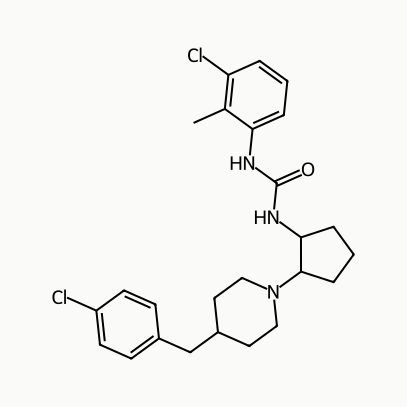 Cc1c(Cl)cccc1NC(=O)NC1CCCC1N1CCC(Cc2ccc(Cl)cc2)CC1